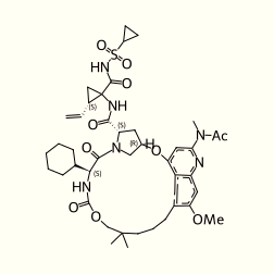 C=C[C@@H]1CC1(NC(=O)[C@@H]1C[C@@H]2CN1C(=O)[C@H](C1CCCCC1)NC(=O)OCC(C)(C)CCCc1cc3c(cc(N(C)C(C)=O)nc3cc1OC)O2)C(=O)NS(=O)(=O)C1CC1